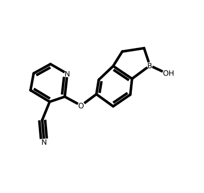 N#Cc1cccnc1Oc1ccc2c(c1)CCB2O